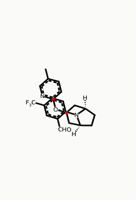 Cc1ccc(O[C@H]2C[C@H]3CC[C@@H](C2)N3c2ccc(C(F)(F)F)cc2C=O)nc1